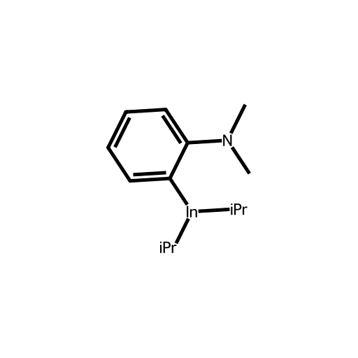 C[CH](C)[In]([c]1ccccc1N(C)C)[CH](C)C